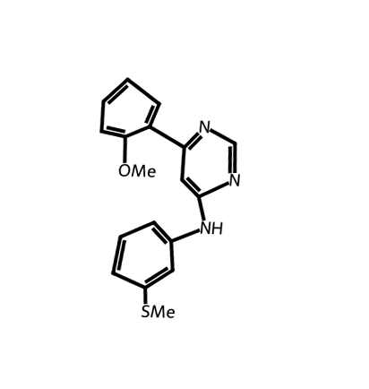 COc1ccccc1-c1cc(Nc2cccc(SC)c2)ncn1